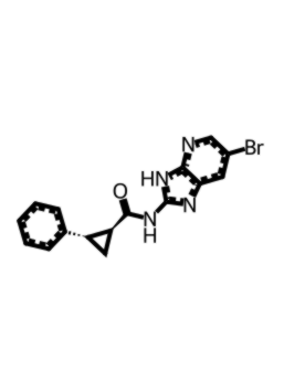 O=C(Nc1nc2cc(Br)cnc2[nH]1)[C@H]1C[C@@H]1c1ccccc1